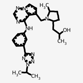 CC(O)CC1CCC(C)N1Cc1ccn2ncnc(Nc3cccc(-c4nnn(C(C)C)n4)c3)c12